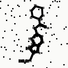 CCOC(=O)Cc1nc2ccc(OC(=O)N3CCCCC3)nc2[nH]1